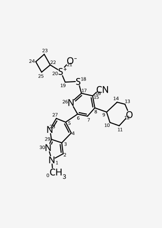 Cn1cc2cc(-c3cc(C4CCOCC4)c(C#N)c(SC[S+]([O-])C4CCC4)n3)cnc2n1